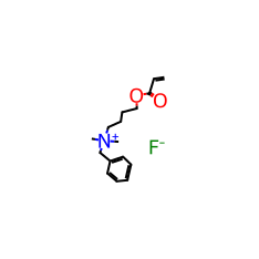 C=CC(=O)OCCCC[N+](C)(C)Cc1ccccc1.[F-]